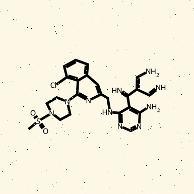 CS(=O)(=O)N1CCN(c2nc(CNc3ncnc(N)c3C(=N)/C(C=N)=C/N)cc3cccc(Cl)c23)CC1